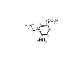 NCc1cc(C(=O)O)ccc1N